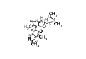 Cc1cc(C)cc(C(=O)Nc2ccc(C)c(-c3cc4cnc(C)cc4n(C)c3=O)c2)c1